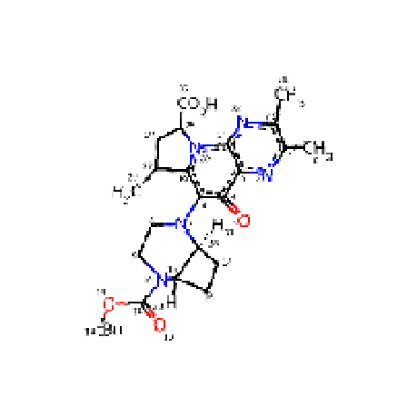 Cc1nc2c(=O)c(N3CCN(C(=O)OC(C)(C)C)[C@H]4CC[C@@H]43)c3n(c2nc1C)C(C(=O)O)CC3C